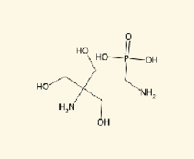 NC(CO)(CO)CO.NCP(=O)(O)O